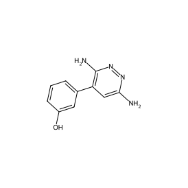 Nc1cc(-c2cccc(O)c2)c(N)nn1